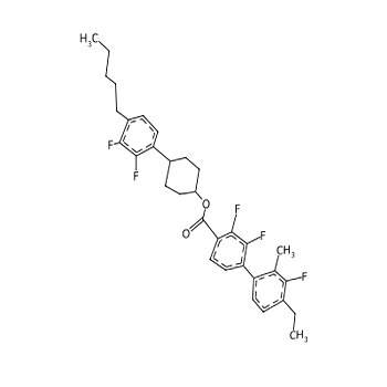 CCCCCc1ccc(C2CCC(OC(=O)c3ccc(-c4ccc(CC)c(F)c4C)c(F)c3F)CC2)c(F)c1F